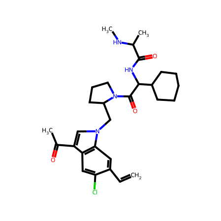 C=Cc1cc2c(cc1Cl)c(C(C)=O)cn2CC1CCCN1C(=O)C(NC(=O)C(C)NC)C1CCCCC1